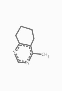 Cc1n[c]nc2c1CCCC2